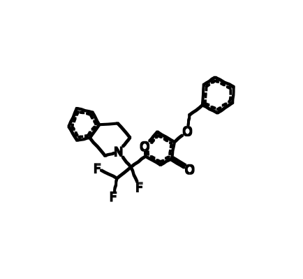 O=c1cc(C(F)(C(F)F)N2CCc3ccccc3C2)occ1OCc1ccccc1